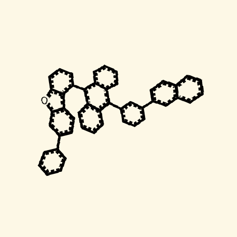 c1ccc(-c2ccc3c(c2)oc2cccc(-c4c5ccccc5c(-c5cccc(-c6ccc7ccccc7c6)c5)c5ccccc45)c23)cc1